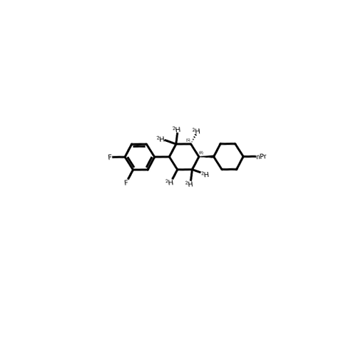 [2H]C1C(c2ccc(F)c(F)c2)C([2H])([2H])[C@H]([2H])[C@@H](C2CCC(CCC)CC2)C1([2H])[2H]